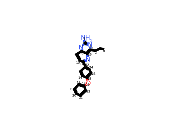 CCCc1nc(N)nc2ccc(-c3ccc(Oc4ccccc4)cc3)nc12